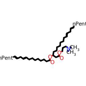 CCCCCC=CCC=CCCCCCCCC(=O)OC(CCCCCCCC=CCC=CCCCCC)CC(=O)OCCCN(C)C